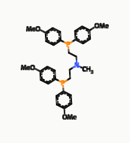 COc1ccc(P(CCN(C)CCP(c2ccc(OC)cc2)c2ccc(OC)cc2)c2ccc(OC)cc2)cc1